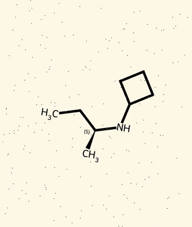 CC[C@H](C)NC1CCC1